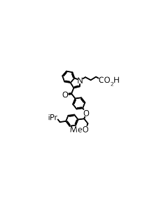 COCC(Oc1ccc(C(=O)c2cn(CCCC(=O)O)c3ccccc23)cc1)c1ccc(CC(C)C)cc1